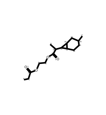 CCC(=O)OCCOC(=O)C(C)C1C2CCC(C)CC21